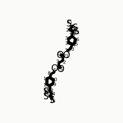 O=C(CCC(=O)OCCc1ccc(-c2cc(=S)ss2)cc1)OCCc1ccc(-c2cc(=S)ss2)cc1